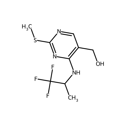 CSc1ncc(CO)c(NC(C)C(F)(F)F)n1